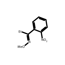 CCC(=NOC)c1ccccc1[N+](=O)[O-]